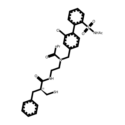 CCCC(=O)N(CCNC(=O)[C@@H](CS)Cc1ccccc1)Cc1ccc(-c2ccccc2S(=O)(=O)NC(C)=O)c(Cl)c1